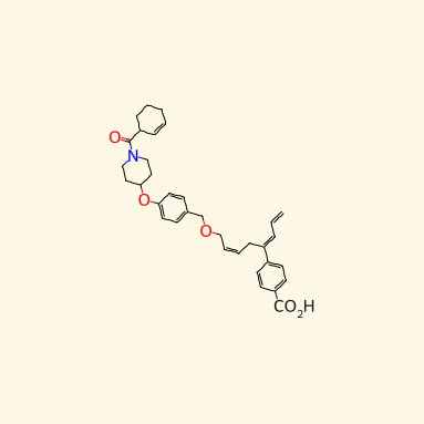 C=C/C=C(\C/C=C\COCc1ccc(OC2CCN(C(=O)C3C=CCCC3)CC2)cc1)c1ccc(C(=O)O)cc1